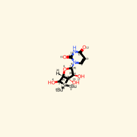 CC(C)(C)[Si]1(C(C)(C)C)C(O)[C@H]2O[C@@H](n3ccc(=O)[nH]c3=O)[C@@H](O)[C@]21O